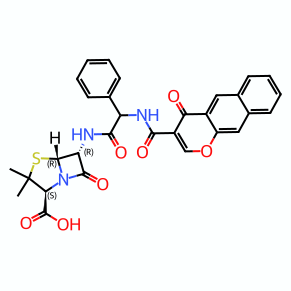 CC1(C)S[C@@H]2[C@H](NC(=O)C(NC(=O)c3coc4cc5ccccc5cc4c3=O)c3ccccc3)C(=O)N2[C@H]1C(=O)O